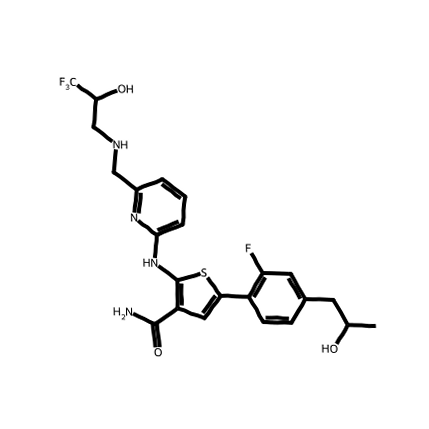 CC(O)Cc1ccc(-c2cc(C(N)=O)c(Nc3cccc(CNCC(O)C(F)(F)F)n3)s2)c(F)c1